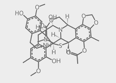 COc1cc2c(cc1O)CCN[C@]21CS[C@H]2c3c(OC(C)=O)c(C)c4c(c3[C@H](COC1=O)N1[C@@H]2[C@H]2c3c(cc(C)c(OC)c3O)C[C@@H]([C@@H]1O)N2C)OCO4